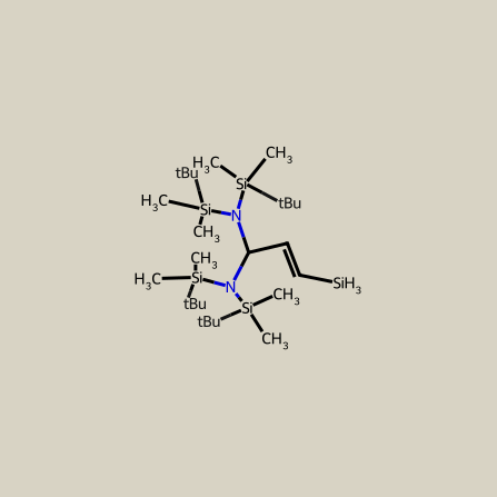 CC(C)(C)[Si](C)(C)N(C(C=C[SiH3])N([Si](C)(C)C(C)(C)C)[Si](C)(C)C(C)(C)C)[Si](C)(C)C(C)(C)C